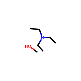 CCN(CC)CC.CO